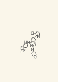 FC(F)(F)c1ccc(Nc2nc(COC3CCOCC3)nc3cc(-c4ncccc4Cl)ccc23)cc1